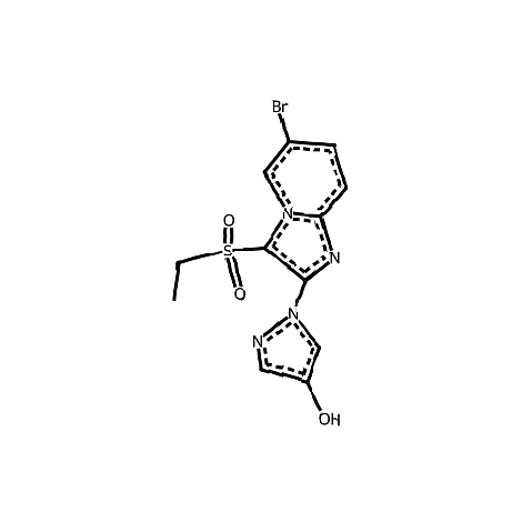 CCS(=O)(=O)c1c(-n2cc(O)cn2)nc2ccc(Br)cn12